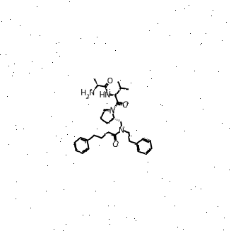 CC(C)[C@H](NC(=O)[C@H](C)N)C(=O)N1CCC[C@H]1CN(CCc1ccccc1)C(=O)CCCc1ccccc1